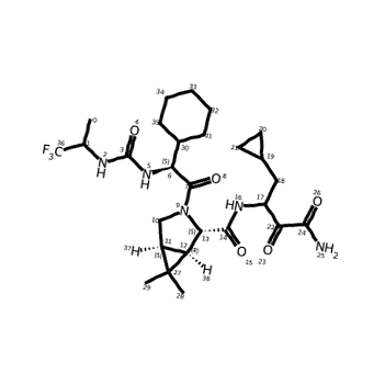 CC(NC(=O)N[C@H](C(=O)N1C[C@H]2[C@@H]([C@H]1C(=O)NC(CC1CC1)C(=O)C(N)=O)C2(C)C)C1CCCCC1)C(F)(F)F